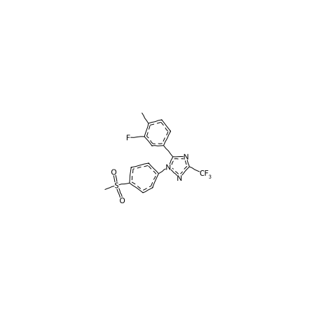 Cc1ccc(-c2nc(C(F)(F)F)nn2-c2ccc(S(C)(=O)=O)cc2)cc1F